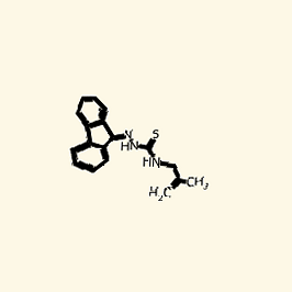 C=C(C)CNC(=S)NN=C1c2ccccc2-c2ccccc21